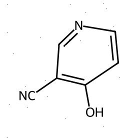 N#Cc1cnccc1O